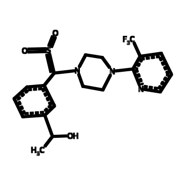 CC(O)c1cccc(C(N2CCN(c3ncccc3C(F)(F)F)CC2)=S(=O)=O)c1